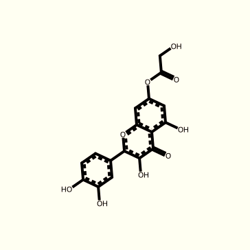 O=C(CO)Oc1cc(O)c2c(=O)c(O)c(-c3ccc(O)c(O)c3)oc2c1